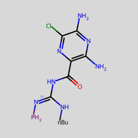 CCCCN/C(=N\P)NC(=O)c1nc(Cl)c(N)nc1N